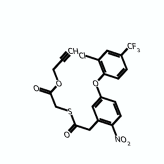 C#CCOC(=O)CSC(=O)Cc1cc(Oc2ccc(C(F)(F)F)cc2Cl)ccc1[N+](=O)[O-]